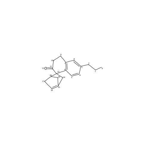 CCCc1ccc2c(c1)CCC(=O)C21CC2=CCC1C2